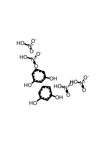 O=[N+]([O-])O.O=[N+]([O-])O.O=[N+]([O-])O.O=[N+]([O-])O.Oc1cccc(O)c1.Oc1cccc(O)c1